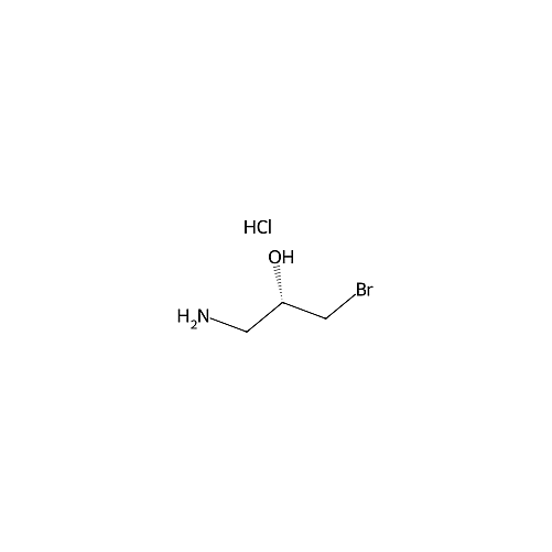 Cl.NC[C@H](O)CBr